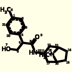 Cc1ccc(C(CO)C(=O)NC2CC3CCC(C2)N3C)cc1